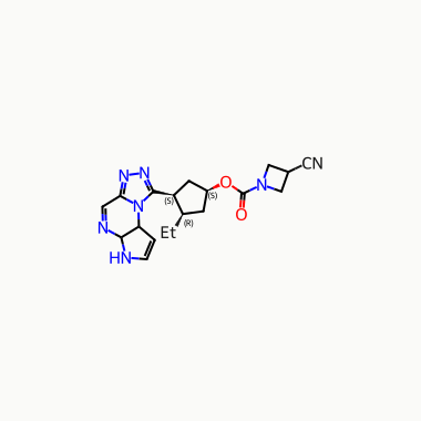 CC[C@@H]1C[C@H](OC(=O)N2CC(C#N)C2)C[C@@H]1c1nnc2n1C1C=CNC1N=C2